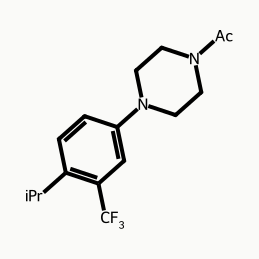 CC(=O)N1CCN(c2ccc(C(C)C)c(C(F)(F)F)c2)CC1